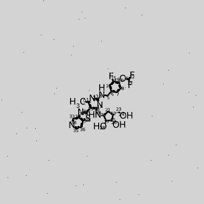 Cc1nc(NCc2ccc(OC(F)F)c(F)c2)nc(N[C@@H]2C[C@H](CO)[C@@H](O)[C@H]2O)c1-c1nc2cnccc2s1